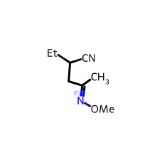 CCC(C#N)C/C(C)=N/OC